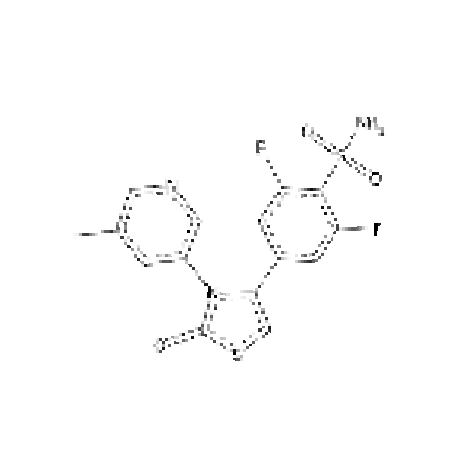 Cc1cncc(-n2c(-c3cc(F)c(S(N)(=O)=O)c(F)c3)csc2=O)c1